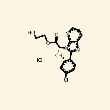 C[C@H](C(=O)OCCO)n1c(-c2ccc(Cl)cc2)nc2cccnc21.Cl